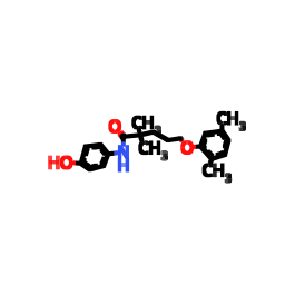 Cc1ccc(C)c(OCCCC(C)(C)C(=O)Nc2ccc(O)cc2)c1